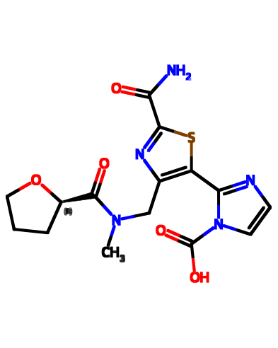 CN(Cc1nc(C(N)=O)sc1-c1nccn1C(=O)O)C(=O)[C@H]1CCCO1